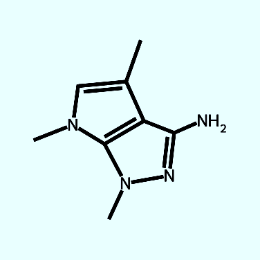 Cc1cn(C)c2c1c(N)nn2C